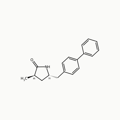 C[C@@H]1C[C@@H](Cc2ccc(-c3ccccc3)cc2)NC1=O